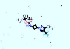 Cc1nn(C2CC(NC(=O)OC(C)(C)C)C2)cc1C(F)(F)F